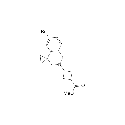 COC(=O)C1CC(N2Cc3ccc(Br)cc3C3(CC3)C2)C1